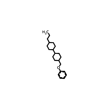 CCCC1CCC(C2CCC(COc3ccccc3)CC2)CC1